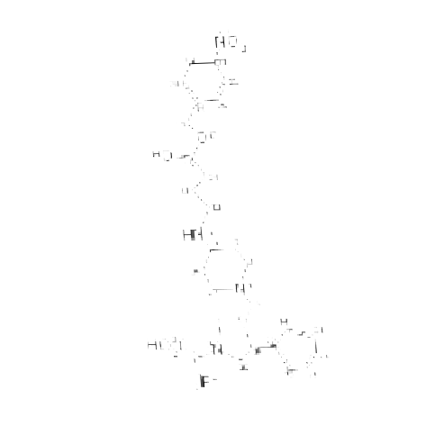 CC(C)[C@H](C(=O)O)N1C[C@H](CN2CCC(NCCCC(=O)OCc3ccc([N+](=O)[O-])cc3)CC2)[C@@H](c2ccccc2)C1